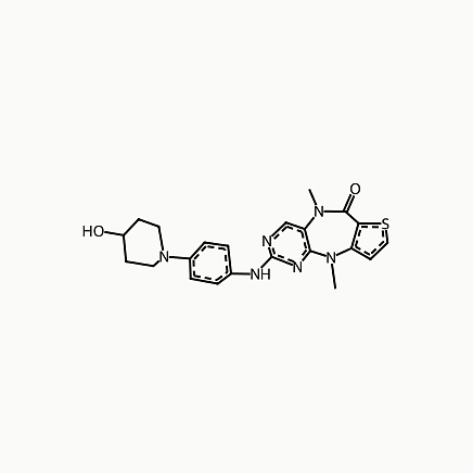 CN1C(=O)c2sccc2N(C)c2nc(Nc3ccc(N4CCC(O)CC4)cc3)ncc21